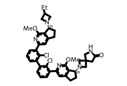 CCC1CN([C@@H]2CCc3cc(-c4cccc(-c5cccc(-c6cc7c(c(OC)n6)[C@H](N6CC8(CNC(=O)C8)C6)CC7)c5Cl)c4Cl)nc(OC)c32)C1